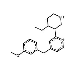 CCC1CCNCC1c1cc(Cc2cccc(OC)c2)ccn1